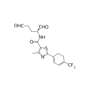 Cc1nc(C2=CC=C(C(F)(F)F)CC2)sc1C(=O)N[C@H](C=O)CCC=O